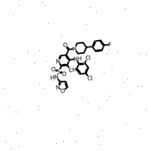 Cc1c(S(=O)(=O)Nc2ccon2)ncc(C(=O)N2CCC(c3ccc(F)cc3)CC2)c1Nc1ccc(Cl)cc1Cl